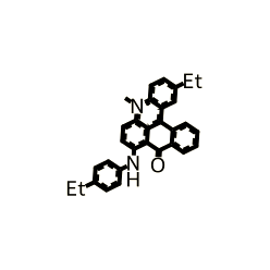 CCc1ccc(Nc2ccc3c4c2C(=O)c2ccccc2-c4c2cc(CC)ccc2[n+]3C)cc1